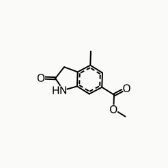 COC(=O)c1cc(C)c2c(c1)NC(=O)C2